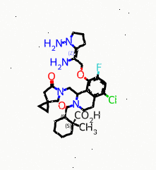 C[C@]1(C(=O)O)CCCC[C@H]1C(=O)N1CCc2c(Cl)cc(F)c(OC/C(N)=C3\CCCN3N)c2C1CN1CC2(CC2)CC1=O